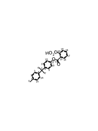 Cc1ccc(C(C)(C)c2ccc(OC(=O)c3ccccc3C(=O)O)cc2)cc1